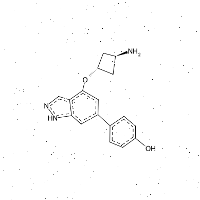 N[C@H]1C[C@H](Oc2cc(-c3ccc(O)cc3)cc3[nH]ncc23)C1